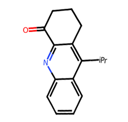 CC(C)c1c2c(nc3ccccc13)C(=O)CCC2